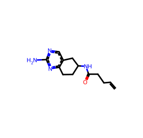 C=CCCC(=O)NC1CCc2nc(N)ncc2C1